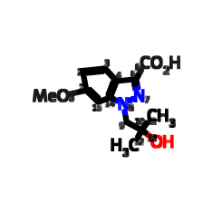 COc1ccc2c(C(=O)O)nn(CC(C)(C)O)c2c1